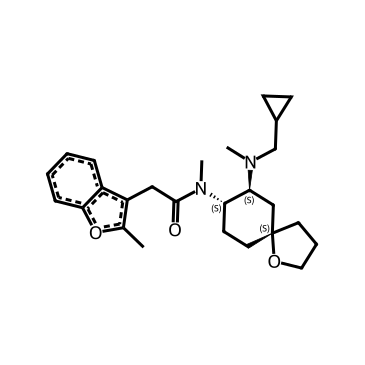 Cc1oc2ccccc2c1CC(=O)N(C)[C@H]1CC[C@]2(CCCO2)C[C@@H]1N(C)CC1CC1